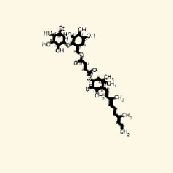 C=C/C=C(C)/C=C/C=C(C)/C=C/C1=C(C)C(=O)C(OC(=O)CCC(=O)OCC2CC(O)C(O)C(O)C2OC2CC(CC)C(O)C(O)C2O)CC1(C)C